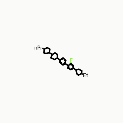 CCCC1CCC(C2CCC(c3ccc(-c4ccc(C5CCC(CC)CC5)cc4F)cc3)CC2)CC1